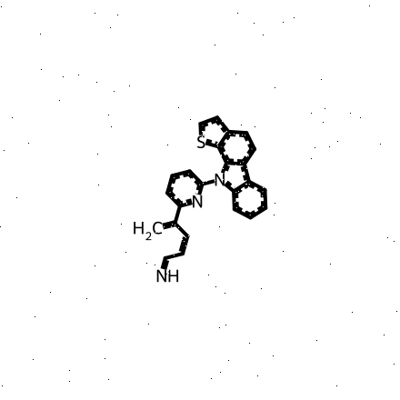 C=C(/C=C\C=N)c1cccc(-n2c3ccccc3c3ccc4ccsc4c32)n1